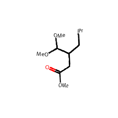 COC(=O)CC(CC(C)C)C(OC)OC